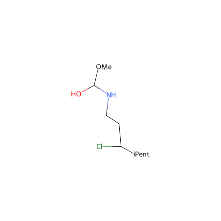 CCCC(C)C(Cl)CCNC(O)OC